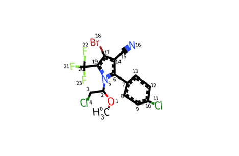 COC(CCl)n1c(-c2ccc(Cl)cc2)c(C#N)c(Br)c1C(F)(F)F